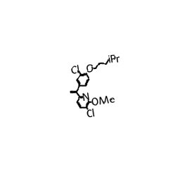 C=C(c1ccc(OCCCC(C)C)c(Cl)c1)c1ccc(Cl)c(OC)n1